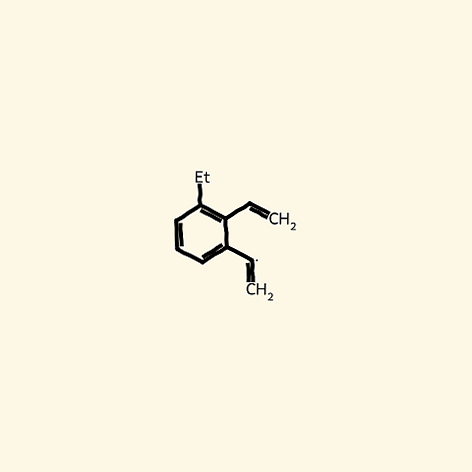 C=[C]c1cccc(CC)c1C=C